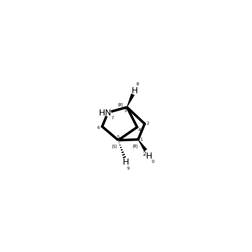 [2H][C@@H]1C[C@@H]2C[C@@H]1CN2